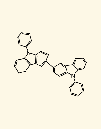 C1=Cc2c(c3cc(-c4ccc5c(c4)c4ccccc4n5-c4ccccc4)ccc3n2-c2ccccc2)CC1